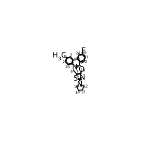 Cc1ccc(N(Cc2cnc(N3CCCC3)s2)C(=O)c2ccc(F)cc2)cc1